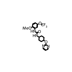 COc1ccc(OC(F)(F)F)cc1NC(=O)NC1CCC(Oc2ncccn2)CC1